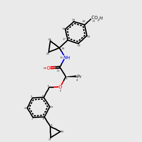 CC(C)[C@@H](OCc1cccc(C2CC2)c1)C(=O)NC1(c2ccc(C(=O)O)cc2)CC1